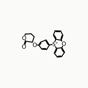 O=C1OCCCC1Oc1ccc([S+]2c3ccccc3Oc3ccccc32)cc1